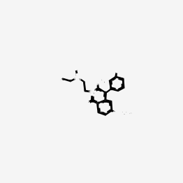 COc1ccc2c(=O)n(CCN(C)CCO)c(C#N)c(-c3cccc(F)c3)c2c1